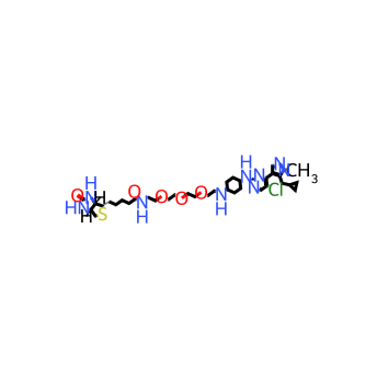 Cn1ncc(-c2nc(N[C@H]3CC[C@H](NCCOCCOCCOCCNC(=O)CCCC[C@@H]4SC[C@@H]5NC(=O)N[C@@H]54)CC3)ncc2Cl)c1CC1CC1